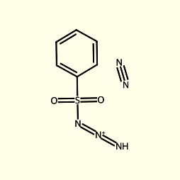 N#N.N=[N+]=NS(=O)(=O)c1ccccc1